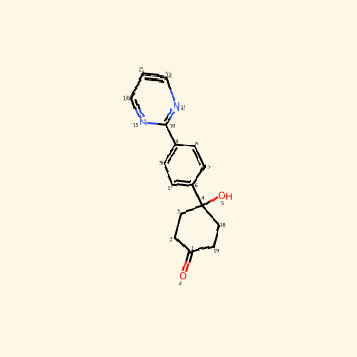 O=C1CCC(O)(c2ccc(-c3ncccn3)cc2)CC1